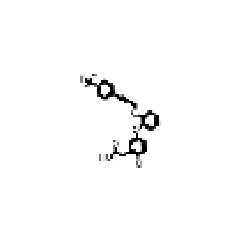 O=C(O)Cc1cc(Oc2ccccc2OCC#Cc2ccc(C(F)(F)F)cc2)ccc1Cl